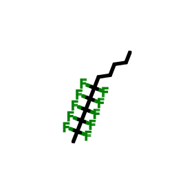 CCCCCC(F)(F)C(F)(F)C(F)(F)C(F)(F)C(C)(F)F